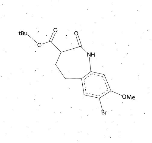 COc1cc2c(cc1Br)CCC(C(=O)OC(C)(C)C)C(=O)N2